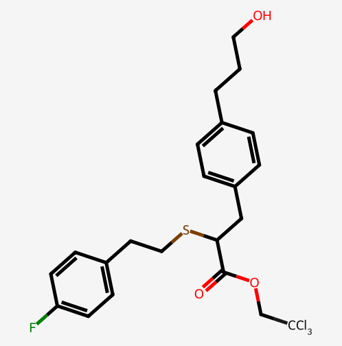 O=C(OCC(Cl)(Cl)Cl)C(Cc1ccc(CCCO)cc1)SCCc1ccc(F)cc1